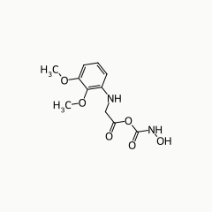 COc1cccc(NCC(=O)OC(=O)NO)c1OC